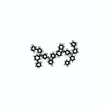 c1ccc(-c2cccc(N(c3ccc(-n4c5ccccc5c5cc(-c6ccc7c(c6)c6ccccc6n7-c6ccc(N(c7cccc(-c8ccccc8)c7)c7cccc(-c8ccccc8)c7)cc6)ccc54)cc3)c3cccc(-c4ccccc4)c3)c2)cc1